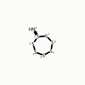 N=S1SSSSSS1